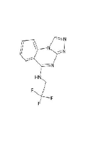 FC(F)(F)CNc1nc2nncn2c2ccccc12